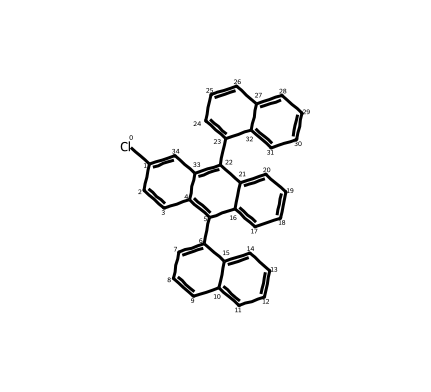 Clc1ccc2c(-c3cccc4ccccc34)c3ccccc3c(-c3cccc4ccccc34)c2c1